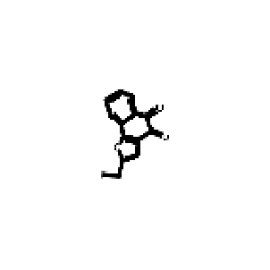 O=C1C(=O)c2ccccc2C2=C1CC(CI)O2